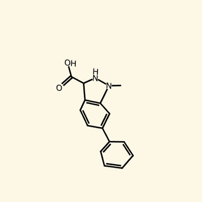 CN1NC(C(=O)O)c2ccc(-c3ccccc3)cc21